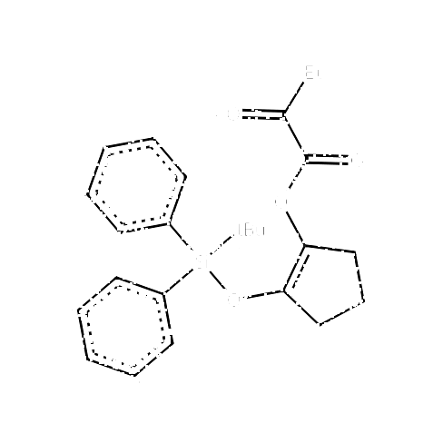 CCC(=O)C(=O)OC1=C(O[Si](c2ccccc2)(c2ccccc2)C(C)(C)C)CCC1